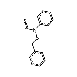 S=[C]N(SCc1ccccc1)c1ccccc1